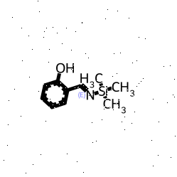 C[Si](C)(C)/N=C/c1ccccc1O